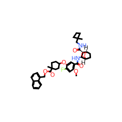 COc1cc(F)c(OC2CCC(C)(C(=O)OCc3cccc4ccccc34)CC2)cc1C(=O)N[C@H]1[C@@H](C(=O)NCC2(C)CCC2)[C@H]2CC[C@@H]1O2